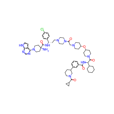 NC1(C(=O)N[C@@H](CCN2CCN(C(=O)CN3CCC(OC4CCN(C(=O)[C@H](NC(=O)c5cccc(C6CCCN(C(=O)C7CC7)C6)c5)C5CCCCC5)CC4)CC3)CC2)c2ccc(Cl)cc2)CCN(c2ncnc3[nH]ccc23)CC1